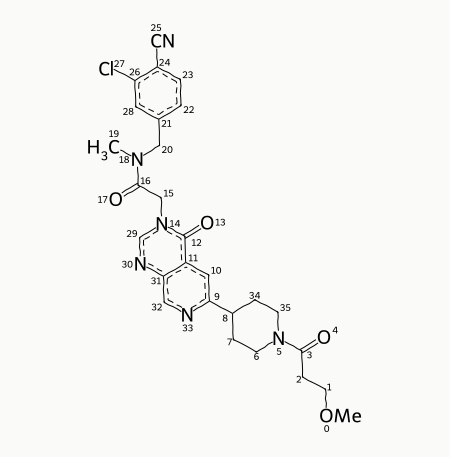 COCCC(=O)N1CCC(c2cc3c(=O)n(CC(=O)N(C)Cc4ccc(C#N)c(Cl)c4)cnc3cn2)CC1